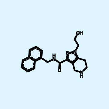 O=C(NCc1cccc2ccccc12)c1nn(CCO)c2c1CNCC2